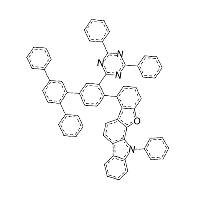 c1ccc(-c2ccc(-c3ccccc3)c(-c3ccc(-c4cccc5oc6c(ccc7c8ccccc8n(-c8ccccc8)c76)c45)c(-c4nc(-c5ccccc5)nc(-c5ccccc5)n4)c3)c2)cc1